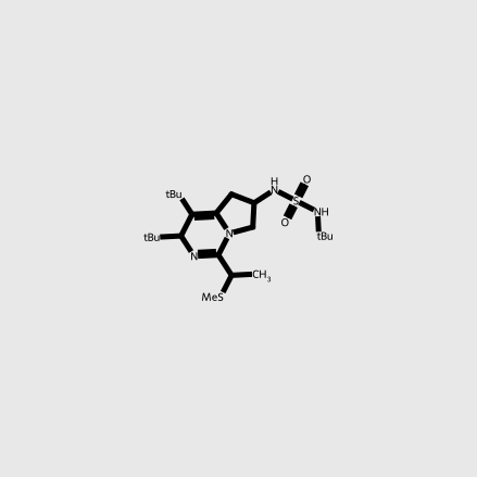 CSC(C)C1=NC(C(C)(C)C)C(C(C)(C)C)=C2CC(NS(=O)(=O)NC(C)(C)C)CN12